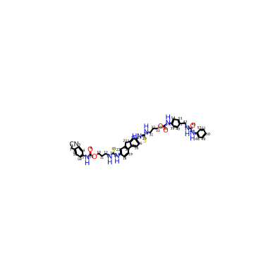 N#CCc1ccc(NC(=O)OCCCNC(=S)Nc2ccc3c(c2)Cc2cc(NC(=S)NCCCOC(=O)Nc4ccc(CNC(=O)Nc5ccccc5)cc4)ccc2-3)cc1